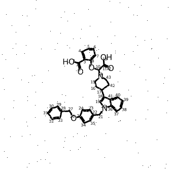 O=C(O)c1ccccc1OC(C(=O)O)N1CCC(c2cn(Cc3ccc(OCc4ccccc4)cc3)c3ccccc23)CC1